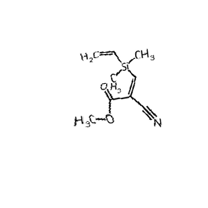 C=C[Si](C)(C)C=C(C#N)C(=O)OC